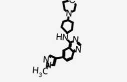 Cn1cc(-c2ccc3ncnc(NC4CCC(N5CCOCC5)CC4)c3c2)cn1